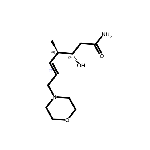 C[C@H](/C=C/CN1CCOCC1)[C@@H](O)CC(N)=O